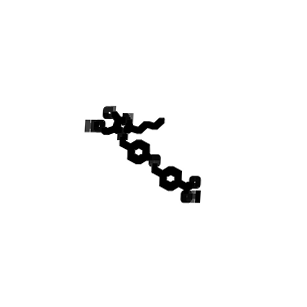 CCCCc1nc(Cl)c(CO)n1Cc1ccc(OCc2ccc(C(=O)O)cc2)cc1